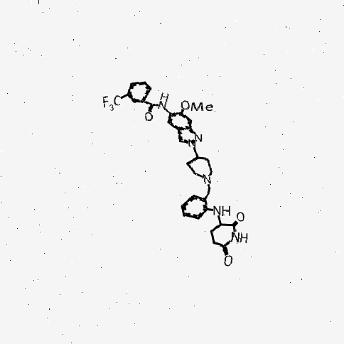 COc1cc2nn(C3CCN(Cc4ccccc4NC4CCC(=O)NC4=O)CC3)cc2cc1NC(=O)c1cccc(C(F)(F)F)c1